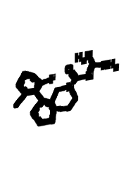 Cc1cccc(F)c1-c1cccc2c1CN(C(=O)N=C(N)N)CC2